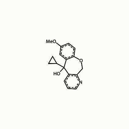 COc1ccc2c(c1)C(O)(C1CC1)c1cccnc1CO2